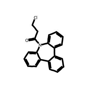 O=C(CCCl)N1c2ccccc2-c2ccccc2-c2ccccc21